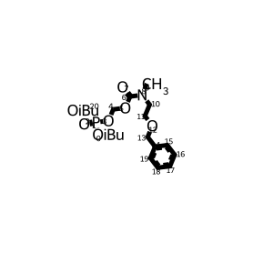 CC(C)COP(=O)(OCOC(=O)N(C)CCOCc1ccccc1)OCC(C)C